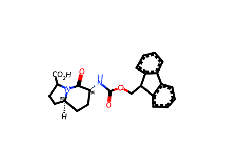 O=C(N[C@@H]1CC[C@H]2CCC(C(=O)O)N2C1=O)OCC1c2ccccc2-c2ccccc21